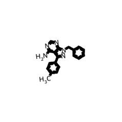 Cc1ccc(-c2nn(Cc3ccccc3)c3ncnc(N)c23)cc1